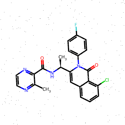 Cc1nccnc1C(=O)N[C@@H](C)c1cc2cccc(Cl)c2c(=O)n1-c1ccc(F)cc1